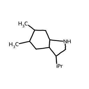 CC(C)C1CNC2CC(C)C(C)CC21